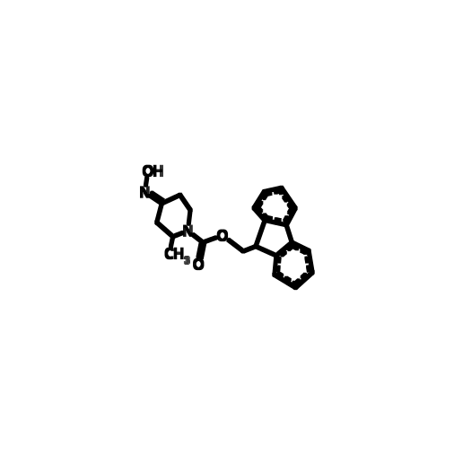 CC1CC(=NO)CCN1C(=O)OCC1c2ccccc2-c2ccccc21